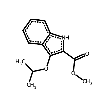 COC(=O)c1[nH]c2ccccc2c1OC(C)C